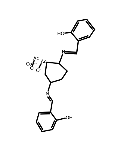 CC(=O)[O-].CC(=O)[O-].Oc1ccccc1C=NC1CCC(N=Cc2ccccc2O)CC1.[Co+2]